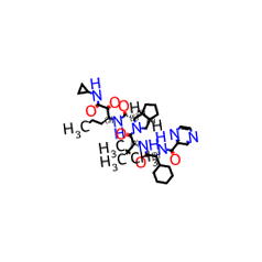 CCC[C@H](NC(=O)[C@@H]1[C@H]2CCC[C@H]2CN1C(=O)[C@H](NC(=O)[C@H](NC(=O)c1cnccn1)C1CCCCC1)C(C)(C)C)C(=O)C(=O)NC1CC1